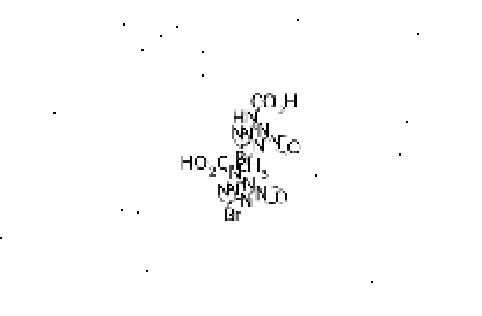 CN(CC(=O)O)c1nc(N2CCOCC2)nc2c(Br)cnn12.O=C(O)CNc1nc(N2CCOCC2)nc2c(Br)cnn12